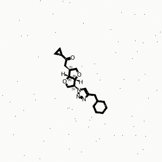 O=C(C[C@H]1CO[C@H]2[C@@H]1OC[C@@H]2n1cc(CC2CCCCC2)nn1)C1CC1